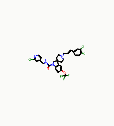 O=C(NCc1ccnc(Cl)c1)N1CC2(CCN(CC=Cc3ccc(Cl)c(Cl)c3)CC2)c2cc(OC(F)(F)F)ccc21